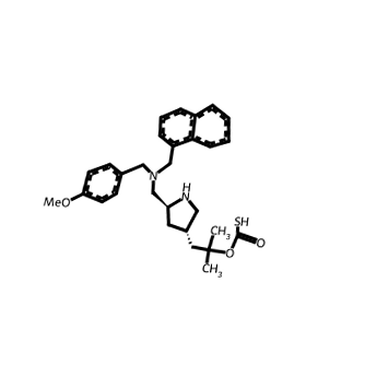 COc1ccc(CN(Cc2cccc3ccccc23)C[C@@H]2C[C@@H](CC(C)(C)OC(=O)S)CN2)cc1